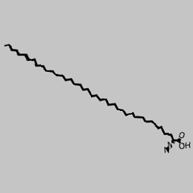 CCCCC/C=C/CCCCCCCCCCCCCCCCCCCCCCCCCCCCCCCC(=[N+]=[N-])C(=O)O